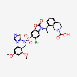 COc1ccc(CN(c2ncns2)S(=O)(=O)c2cc3oc(=O)n(C(C)c4cccc5c4CN(C(=O)O)CC5)c3cc2Br)c(OC)c1